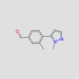 Cc1cc([C]=O)ccc1-c1ccnn1C